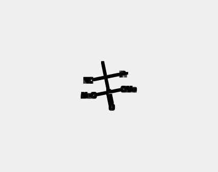 COP(=O)(OC)C(C)(C#N)C(C)C